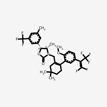 COc1ccc(C(=C(F)F)C(F)(F)F)cc1C1=C(CN2C(=O)O[C@H](c3cc(C)cc(C(F)(F)F)c3)[C@@H]2C)CC(C)(C)CC1